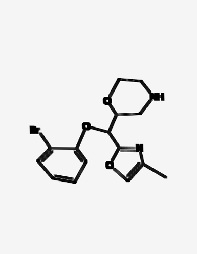 Cc1coc(C(Oc2ccccc2Br)C2CNCCO2)n1